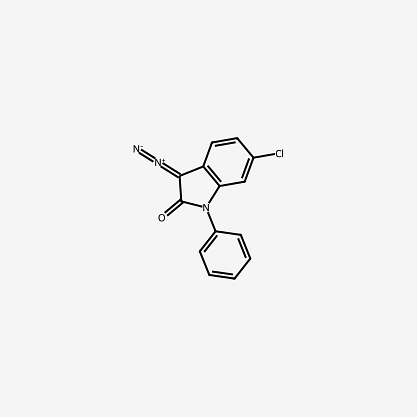 [N-]=[N+]=C1C(=O)N(c2ccccc2)c2cc(Cl)ccc21